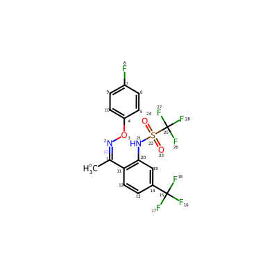 C/C(=N/Oc1ccc(F)cc1)c1ccc(C(F)(F)F)cc1NS(=O)(=O)C(F)(F)F